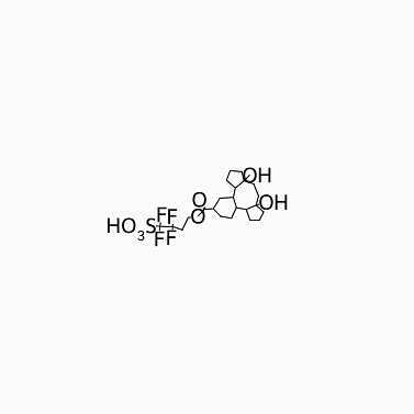 O=C(OCCC(F)(F)C(F)(F)S(=O)(=O)O)C1CCC2C(C1)C1CCCC1(O)CCC1(O)CCCC21